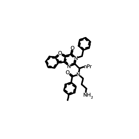 CCCC(c1nc2c(oc3ccccc32)c(=O)n1Cc1ccccc1)N(CCCN)C(=O)c1ccc(C)cc1